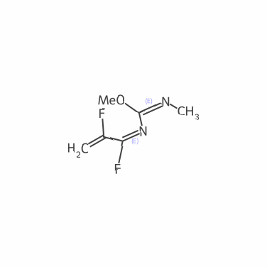 C=C(F)/C(F)=N\C(=N/C)OC